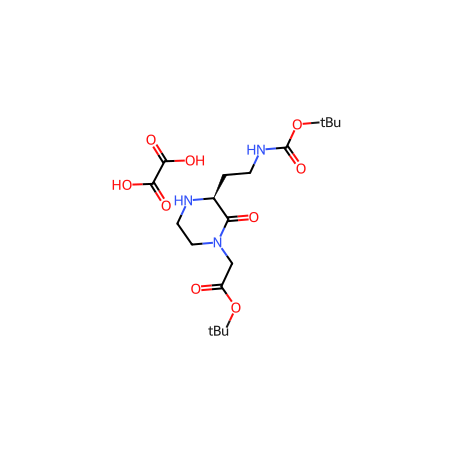 CC(C)(C)OC(=O)CN1CCN[C@@H](CCNC(=O)OC(C)(C)C)C1=O.O=C(O)C(=O)O